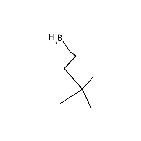 BCCC(C)(C)C